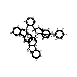 C=C/C=C\C(C)(c1ccccc1-n1c2ccccc2c2ccccc21)N(C1=CC2c3ccccc3OC2C=C1)c1ccc(-c2ccccc2)cc1